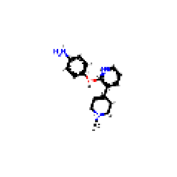 CC(=O)N1CC=C(c2cccnc2Oc2ccc(N)cc2)CC1